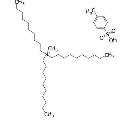 CCCCCCCCCC[N+](C)(CCCCCCCCCC)CCCCCCCCCC.Cc1ccc(S(=O)(=O)O)cc1